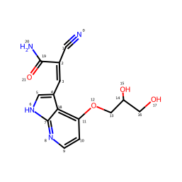 N#C/C(=C/c1c[nH]c2nccc(OCC(O)CO)c12)C(N)=O